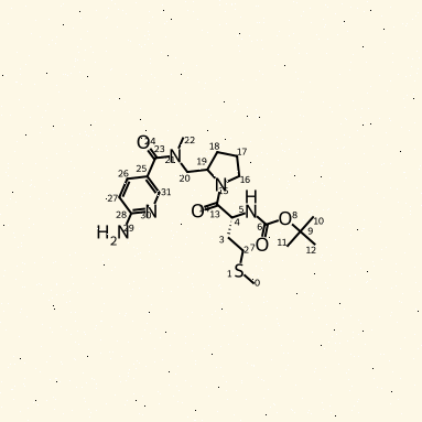 CSCC[C@@H](NC(=O)OC(C)(C)C)C(=O)N1CCCC1CN(C)C(=O)c1ccc(N)nc1